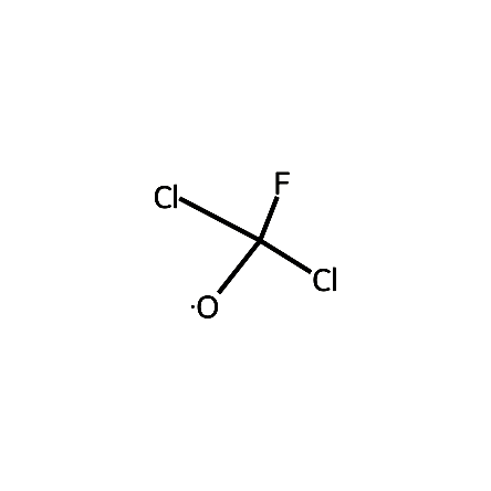 [O]C(F)(Cl)Cl